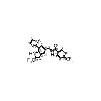 Cn1ccnc1-c1cc(CNC(=O)c2ccc(C(F)(F)F)nc2)cc2cc(C(F)(F)F)[nH]c12